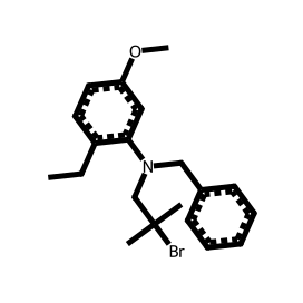 CCc1ccc(OC)cc1N(Cc1ccccc1)CC(C)(C)Br